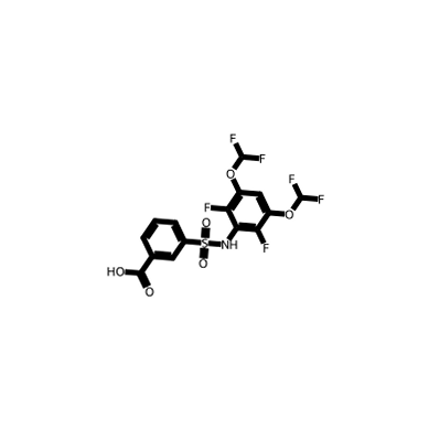 O=C(O)c1cccc(S(=O)(=O)Nc2c(F)c(OC(F)F)cc(OC(F)F)c2F)c1